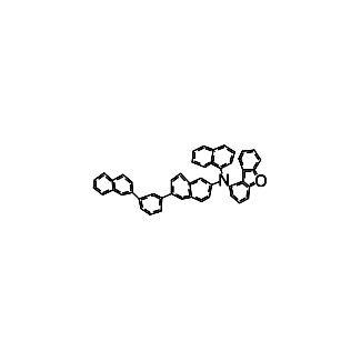 c1cc(-c2ccc3ccccc3c2)cc(-c2ccc3cc(N(c4cccc5ccccc45)c4cccc5oc6ccccc6c45)ccc3c2)c1